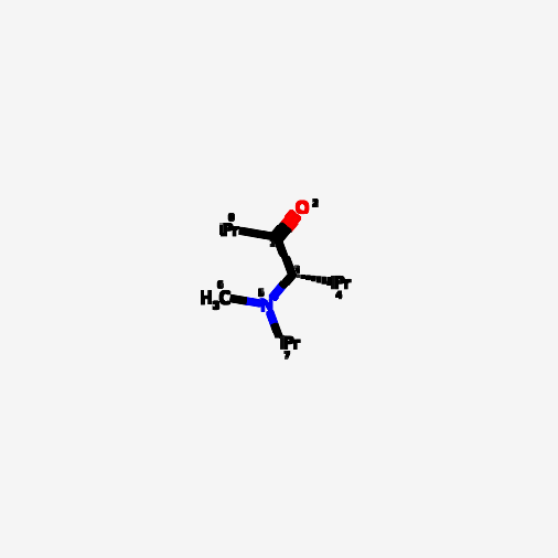 CC(C)C(=O)[C@H](C(C)C)N(C)C(C)C